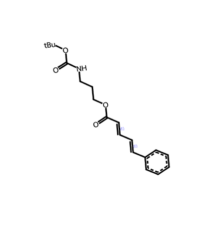 CC(C)(C)OC(=O)NCCCOC(=O)/C=C/C=C/c1ccccc1